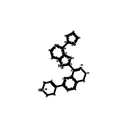 C1=C(c2ccc3c(n2)C(c2nc4c(-c5cccs5)nccc4[nH]2)=NCC3)CCNC1